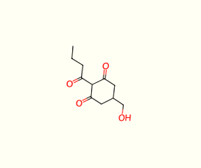 CCCC(=O)C1C(=O)CC(CO)CC1=O